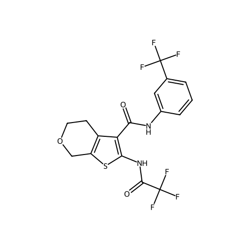 O=C(Nc1cccc(C(F)(F)F)c1)c1c(NC(=O)C(F)(F)F)sc2c1CCOC2